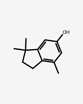 Cc1cc(O)cc2c1CCC2(C)C